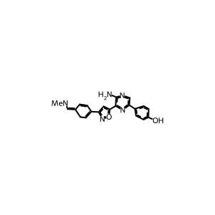 CNC=C1C=CC(c2cc(-c3nc(-c4ccc(O)cc4)cnc3N)on2)=CC1